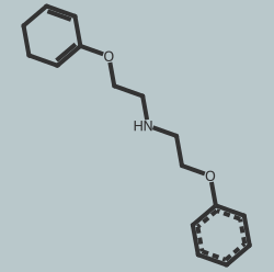 C1=CC(OCCNCCOc2ccccc2)=CCC1